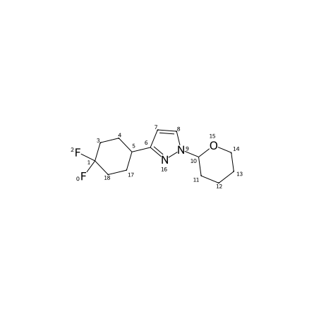 FC1(F)CCC(c2ccn(C3CCCCO3)n2)CC1